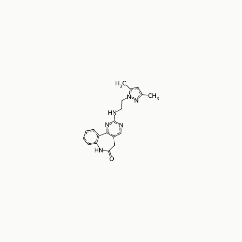 Cc1cc(C)n(CCNc2ncc3c(n2)-c2ccccc2NC(=O)C3)n1